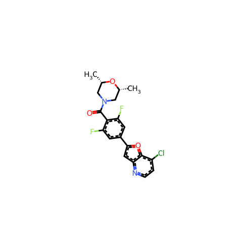 C[C@@H]1CN(C(=O)c2c(F)cc(-c3cc4nccc(Cl)c4o3)cc2F)C[C@H](C)O1